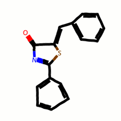 O=C1N=C(c2ccccc2)SC1=Cc1ccccc1